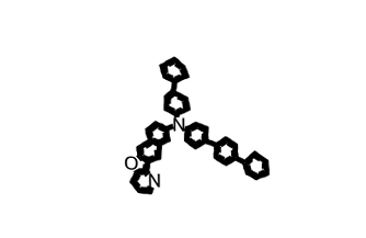 c1ccc(-c2ccc(-c3ccc(N(c4ccc(-c5ccccc5)cc4)c4ccc5cc6oc7cccnc7c6cc5c4)cc3)cc2)cc1